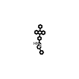 C1=CC2NC(c3ccc(-c4c5ccccc5c(-c5ccccc5)c5ccccc45)cc3)=CN2C=C1c1ccccc1